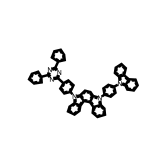 c1ccc(-c2nc(-c3ccccc3)nc(-c3ccc(-n4c5ccccc5c5c6c7ccccc7n(-c7ccc(-n8c9ccccc9c9ccccc98)cc7)c6ccc54)cc3)n2)cc1